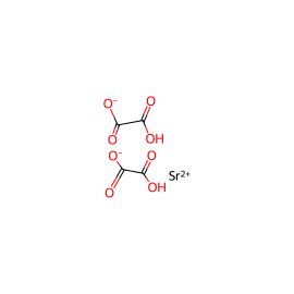 O=C([O-])C(=O)O.O=C([O-])C(=O)O.[Sr+2]